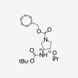 CC(C)O[C@H]1CN(C(=O)OCc2ccccc2)C[C@@H]1NC(=O)OC(C)(C)C